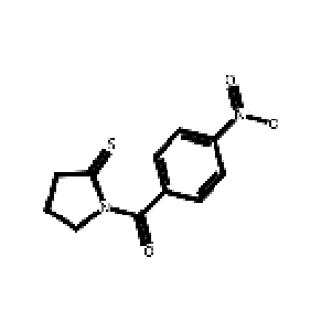 O=C(c1ccc([N+](=O)[O-])cc1)N1CCCC1=S